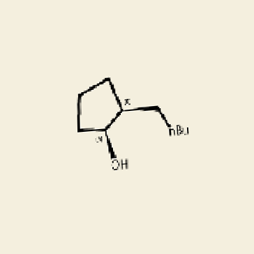 CCCCC[C@@H]1CCC[C@@H]1O